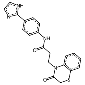 O=C(CCN1C(=O)CSc2ccccc21)Nc1ccc(-c2ncc[nH]2)cc1